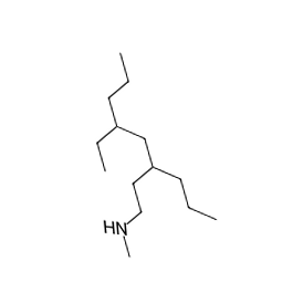 CCCC(CC)CC(CCC)CCNC